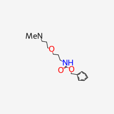 CNCCCOCCCNC(=O)OCc1ccccc1